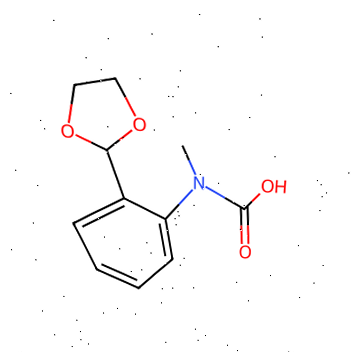 CN(C(=O)O)c1ccccc1C1OCCO1